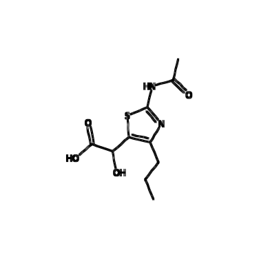 CCCc1nc(NC(C)=O)sc1C(O)C(=O)O